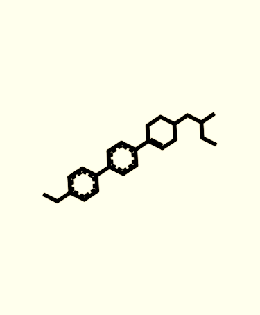 CCc1ccc(-c2ccc(C3=CCC(CC(C)CC)CC3)cc2)cc1